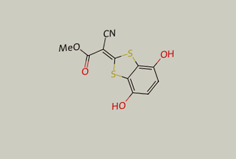 COC(=O)C(C#N)=C1Sc2c(O)ccc(O)c2S1